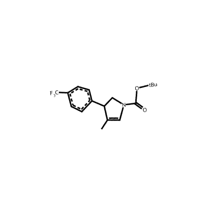 CC1=CN(C(=O)OC(C)(C)C)CC1c1ccc(C(F)(F)F)cc1